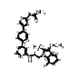 COc1c(C)n(CCNc2cc(-c3ccc(-c4csc(CC(N)=O)n4)cc3)ncn2)c2c(F)cccc12